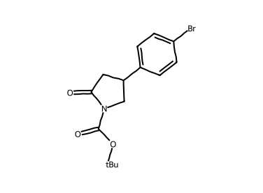 CC(C)(C)OC(=O)N1CC(c2ccc(Br)cc2)CC1=O